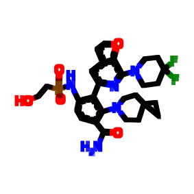 NC(=O)c1ccc(NS(=O)(=O)CCO)c(-c2cc3ccoc3c(N3CCC(F)(F)CC3)n2)c1N1CCC2(CC1)CC2